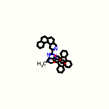 C\C1=C(c2ccc3ccc4ccccc4c3c2)/N=C(c2cc3c(ccc4ccc5ccccc5c43)cn2)\N=C(\c2cc3ccccc3c3ccccc23)CC1